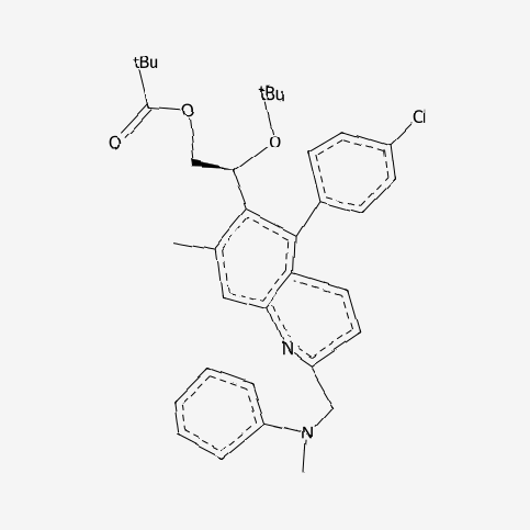 Cc1cc2nc(CN(C)c3ccccc3)ccc2c(-c2ccc(Cl)cc2)c1[C@@H](COC(=O)C(C)(C)C)OC(C)(C)C